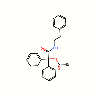 CCC(=O)OC(C(=O)NCCc1ccccc1)(c1ccccc1)c1ccccc1